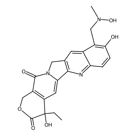 CCC1(O)C(=O)OCc2c1cc1n(c2=O)Cc2cc3c(CN(C)O)c(O)ccc3nc2-1